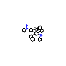 Cc1cc(Nc2ccccc2)ccc1-c1c(-c2cccc3ccccc23)cc(Nc2ccccc2)c(-c2cccc3ccccc23)c1C